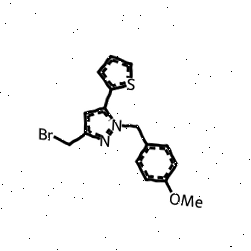 COc1ccc(Cn2nc(CBr)cc2-c2cccs2)cc1